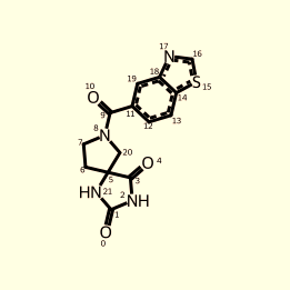 O=C1NC(=O)C2(CCN(C(=O)c3ccc4scnc4c3)C2)N1